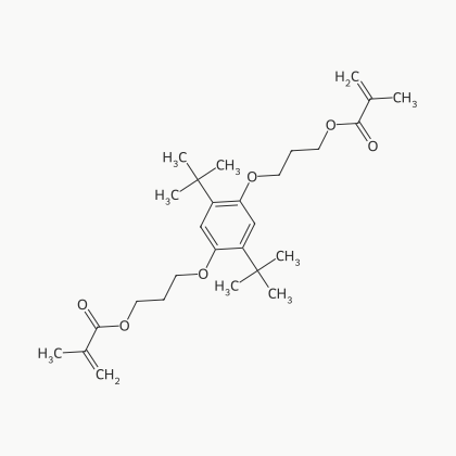 C=C(C)C(=O)OCCCOc1cc(C(C)(C)C)c(OCCCOC(=O)C(=C)C)cc1C(C)(C)C